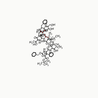 CC[C@H](C)[C@H](NC(=O)[C@@H](CCCNC(=N)N)NC(=O)[C@H](CC(C)C)NC(=O)[C@@H](NC(=O)[C@@H](NC(=O)OCc1ccccc1)[C@H](NC(=O)OC(C)(C)C)c1ccccc1)[C@H](O)C(C)C)C(=O)N[C@H](C(=O)NCC(=O)N[C@@H](Cc1ccccc1)C(=O)N[C@@H](CO)C(=O)O)[C@H](C)O